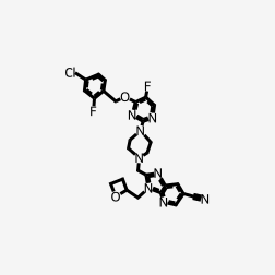 N#Cc1cnc2c(c1)nc(CN1CCN(c3ncc(F)c(OCc4ccc(Cl)cc4F)n3)CC1)n2CC1CCO1